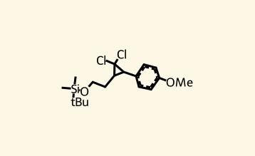 COc1ccc(C2C(CCO[Si](C)(C)C(C)(C)C)C2(Cl)Cl)cc1